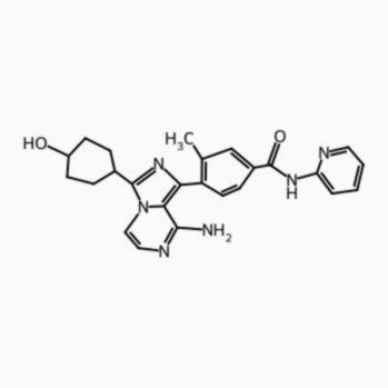 Cc1cc(C(=O)Nc2ccccn2)ccc1-c1nc(C2CCC(O)CC2)n2ccnc(N)c12